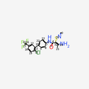 C=NS/C(C(=O)Nc1ccc(-c2cc(C(F)(F)F)ccc2Cl)cc1)=C(/C)N